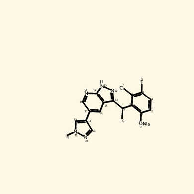 COc1ccc(F)c(Cl)c1[C@@H](C)c1n[nH]c2ncc(-c3cnn(C)c3)cc12